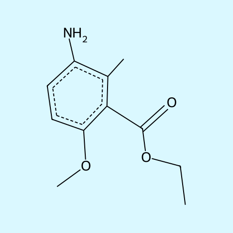 CCOC(=O)c1c(OC)ccc(N)c1C